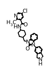 Cc1ncc(Cl)cc1C(=O)NC1CCC(Cn2c(=O)n(-c3ccc4c(c3)CNC4)c3ccccc32)CC1